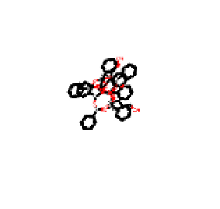 C[Si]1(CCCO)O[Si]2(c3ccccc3)OC34O[Si](c5ccccc5)(O2)O[Si]2(c5ccccc5)O[Si](C)(CCCO)O[Si]5(c6ccccc6)O[Si](c6ccccc6)(O[Si](c6ccccc6)(O1)O[Si]3(c1ccccc1)O5)O[Si]4(c1ccccc1)O2